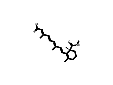 CNC(=O)[C@]1(C)CCCC(C)=C1/C=C/C(C)=C/C=C/C(C)=C/C(=O)O